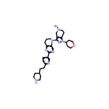 CC(=O)N1CCc2c(c(N3CCCc4nc(-c5ccc(CCC6CCNCC6)nc5)ncc43)nn2C2CCOCC2)C1